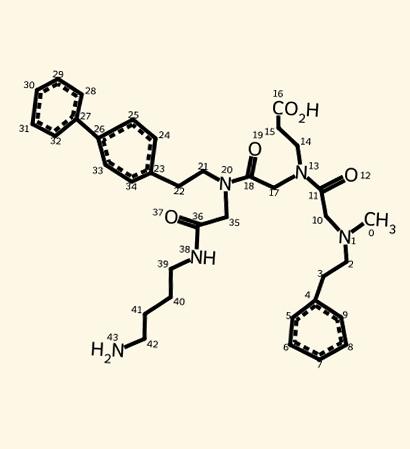 CN(CCc1ccccc1)CC(=O)N(CCC(=O)O)CC(=O)N(CCc1ccc(-c2ccccc2)cc1)CC(=O)NCCCCN